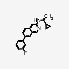 C=C(Nc1cc2ccc(-c3cccc(F)c3)cc2cn1)C1CC1